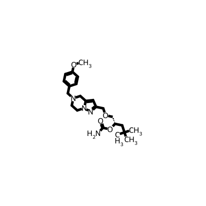 COc1ccc(CN2CCn3nc(COC[C@H](CC(C)(C)C)OC(N)=O)cc3C2)cc1